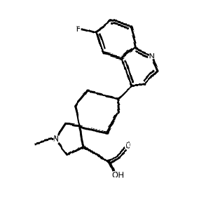 CN1CC(C(=O)O)C2(CCC(c3ccnc4ccc(F)cc34)CC2)C1